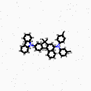 Cc1ccc(N(c2cccc(C)c2)c2cc3c(c4ccccc24)-c2ccc(-n4c5ccccc5c5ccccc54)cc2C3(C)C)cc1